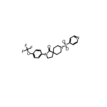 O=C1N(c2ccc(OC(F)(F)F)cc2)CCC12CCN(S(=O)(=O)c1ccncc1)CC2